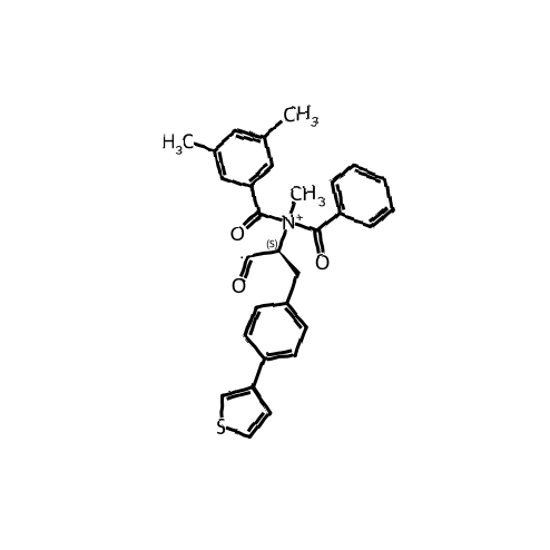 Cc1cc(C)cc(C(=O)[N+](C)(C(=O)c2ccccc2)[C@H]([C]=O)Cc2ccc(-c3ccsc3)cc2)c1